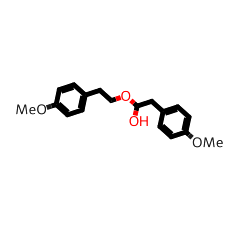 COc1ccc(CCOC(O)Cc2ccc(OC)cc2)cc1